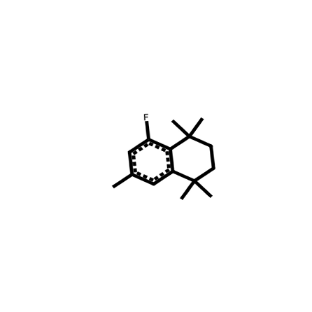 Cc1cc(F)c2c(c1)C(C)(C)CCC2(C)C